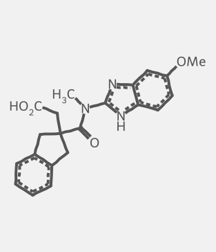 COc1ccc2[nH]c(N(C)C(=O)C3(CC(=O)O)Cc4ccccc4C3)nc2c1